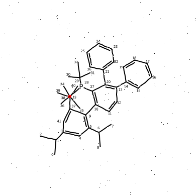 CC(C)c1cc(C(C)C)c(-c2ccc(-c3ccccc3)c(-c3ccccc3)c2P(C(C)(C)C)C(C)(C)C)c(C(C)C)c1